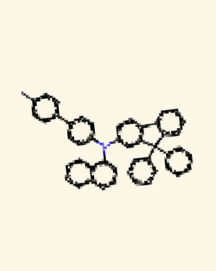 Cc1ccc(-c2ccc(N(c3ccc4c(c3)C(c3ccccc3)(c3ccccc3)c3ccccc3-4)c3cccc4ccccc34)cc2)cc1